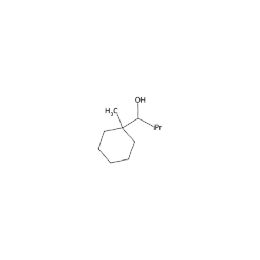 CC(C)C(O)C1(C)CCCCC1